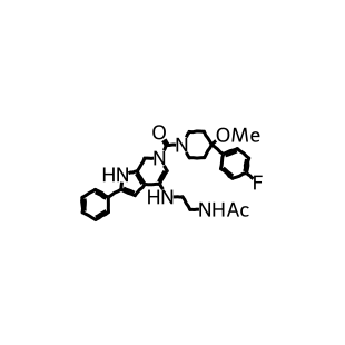 COC1(c2ccc(F)cc2)CCN(C(=O)N2C=C(NCCNC(C)=O)c3cc(-c4ccccc4)[nH]c3C2)CC1